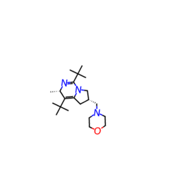 C[C@@H]1N=C(C(C)(C)C)N2C[C@H](CN3CCOCC3)CC2=C1C(C)(C)C